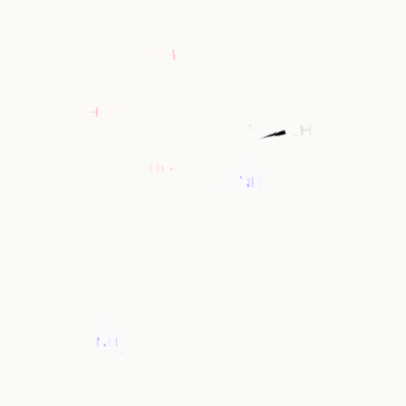 C[C@H](CCC(O)O)NC(O)CCCCN